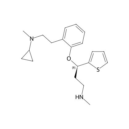 CNCC[C@@H](Oc1ccccc1CCN(C)C1CC1)c1cccs1